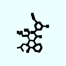 CC(C)CN1C(=O)c2ccccc2[C@H](C(=O)Nc2cc(Cl)cc(C#N)c2)[C@H]1/C(C=N)=C/N